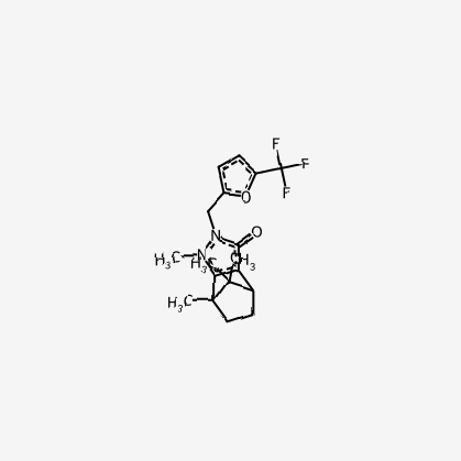 Cn1c2c(c(=O)n1Cc1ccc(C(F)(F)F)o1)C1CCC2(C)C1(C)C